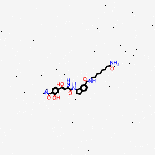 CN(C)C(=O)c1ccc(/C(O)=C/C(=N)C(=O)NC2CCc3ccc(C(=O)NCCCCCCCC(N)=O)cc32)cc1O